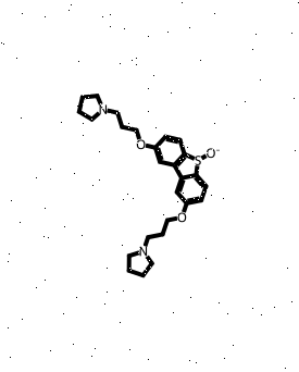 [O-][s+]1c2ccc(OCCCN3CCCC3)cc2c2cc(OCCCN3CCCC3)ccc21